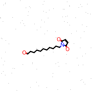 O=CCCCCCCCCCCN1C(=O)C=CC1=O